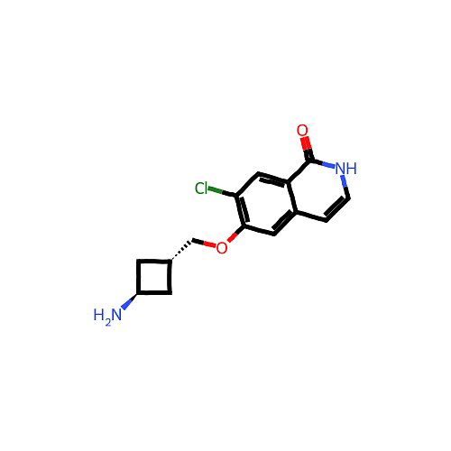 N[C@H]1C[C@H](COc2cc3cc[nH]c(=O)c3cc2Cl)C1